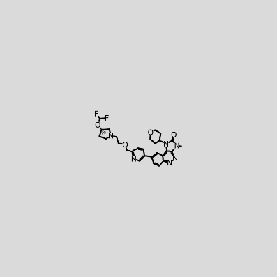 Cn1c(=O)n(C2CCOCC2)c2c3cc(-c4ccc(COCCN5CC[C@@H](OC(F)F)C5)nc4)ccc3nnc21